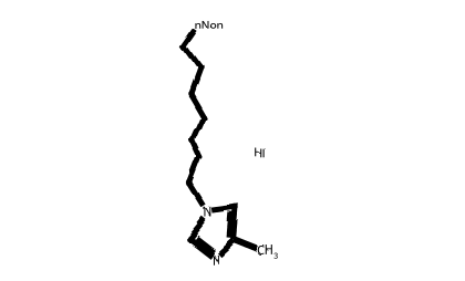 CCCCCCCCCCCCCCCCn1cnc(C)c1.I